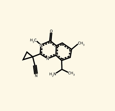 Cc1cc(C(C)N)c2nc(C3(C#N)CC3)n(C)c(=O)c2c1